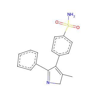 CC1=C(c2ccc(S(N)(=O)=O)cc2)C(c2ccccc2)=NC1